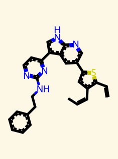 C=Cc1sc(-c2cnc3[nH]cc(-c4ccnc(NCCc5ccccc5)n4)c3c2)cc1/C=C\C